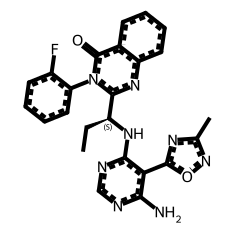 CC[C@H](Nc1ncnc(N)c1-c1nc(C)no1)c1nc2ccccc2c(=O)n1-c1ccccc1F